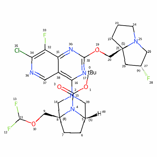 CC(C)(C)OC(=O)N1[C@H]2CC[C@]1(COC(F)F)CN(c1nc(OC[C@@]34CCCN3C[C@H](F)C4)nc3c(F)c(Cl)ncc13)C2